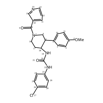 COc1ccc(C2CN(C(=O)c3cccnc3)CCC2NC(=O)Nc2ccc(Cl)cc2)cc1